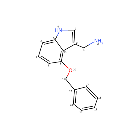 NCc1c[nH]c2cccc(OCc3ccccc3)c12